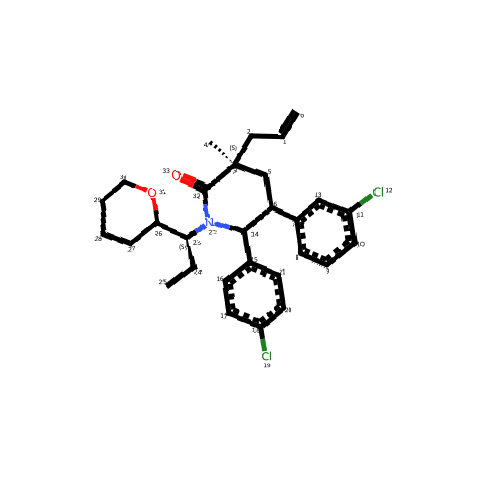 C=CC[C@@]1(C)CC(c2cccc(Cl)c2)C(c2ccc(Cl)cc2)N([C@@H](CC)C2CCCCO2)C1=O